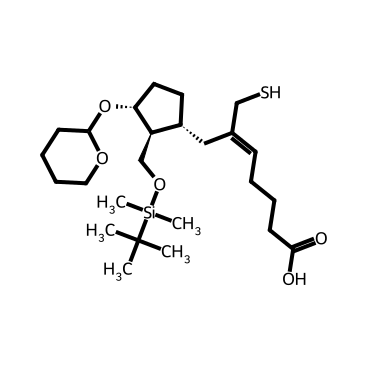 CC(C)(C)[Si](C)(C)OC[C@@H]1[C@@H](C/C(=C\CCCC(=O)O)CS)CC[C@H]1OC1CCCCO1